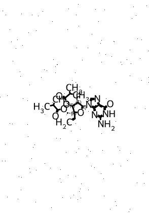 C=C[C@]1(COC(=O)C(C)C)O[C@@H](n2cnc3c(=O)[nH]c(N)nc32)[C@@H](F)[C@@H]1OC(=O)C(C)C